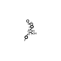 Cc1c(C(=O)N[C@H](C(=O)OCc2ccc(F)cc2)[C@@H](C)O)ccc2c1B(OC1CCCC1)OC2